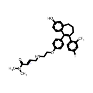 CN(C)C(=O)/C=C/CNCCOc1ccc(C2=C(c3ccc(F)cc3C(F)(F)F)CCCc3cc(O)ccc32)cc1